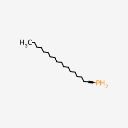 CCCCCCCCCCCCCCCCCC#CP